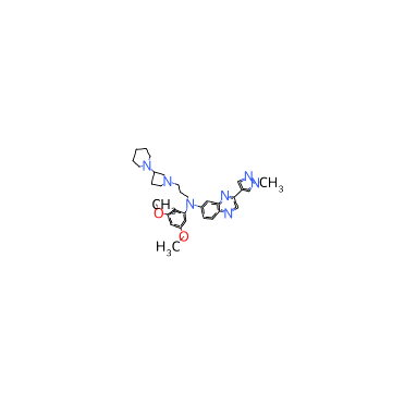 COc1cc(OC)cc(N(CCCN2CCC(N3CCCCC3)C2)c2ccc3ncc(-c4cnn(C)c4)nc3c2)c1